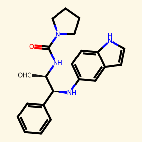 O=C[C@@H](NC(=O)N1CCCC1)[C@@H](Nc1ccc2[nH]ccc2c1)c1ccccc1